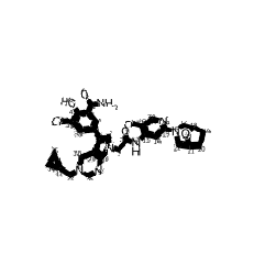 NC(=O)c1cc(-c2cn(CC(=O)Nc3cc(N4CC5CCC(C4)O5)ncc3Cl)c3c2CN(CC2CC2)C=N3)cc(Cl)c1O